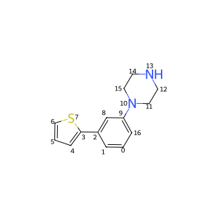 c1cc(-c2cccs2)cc(N2CCNCC2)c1